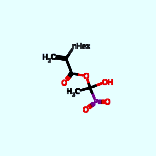 C=C(CCCCCC)C(=O)OC(C)(O)P(=O)=O